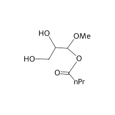 [CH2]OC(OC(=O)CCC)C(O)CO